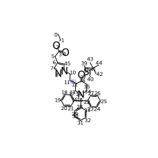 CCOC(=O)Cc1cnn(C/C=C2/CN(C(c3ccccc3)(c3ccccc3)c3ccccc3)CCC2O[Si](C)(C)C(C)(C)C)c1